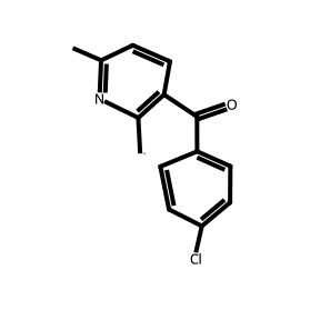 [CH2]c1nc(C)ccc1C(=O)c1ccc(Cl)cc1